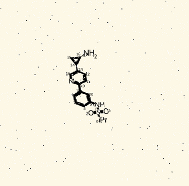 CC(C)S(=O)(=O)Nc1cccc(-c2ccc([C@H]3C[C@@H]3N)cn2)c1